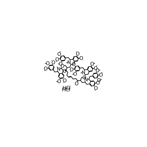 COc1cc2c(cc1OC)C(Cc1cc(OC)c(OC)c(OC)c1)N(C)C(CC(COC1Cc3cc(OC)c(OC)cc3C(Cc3cc(OC)c(OC)c(OC)c3)N1C)C(=O)CC/C=C/CCC(=O)C(COC1Cc3cc(OC)c(OC)cc3C(Cc3cc(OC)c(OC)c(OC)c3)N1C)CC1Cc3cc(OC)c(OC)cc3C(Cc3cc(OC)c(OC)c(OC)c3)N1C)C2.Cl.Cl